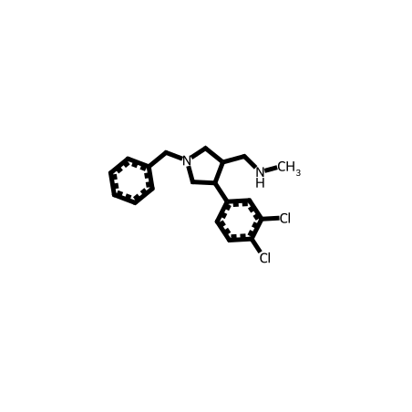 CNCC1CN(Cc2ccccc2)CC1c1ccc(Cl)c(Cl)c1